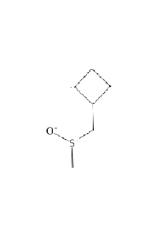 C[S+]([O-])CC1[CH]CC1